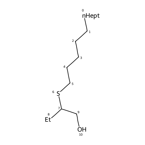 CCCCCCCCCCCCSC(CC)CO